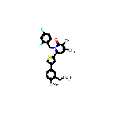 COc1ccc(-c2csc(-c3cc(C(F)(F)F)c(C#N)c(=O)n3Cc3ccc(F)cc3F)c2)cc1CC(=O)O